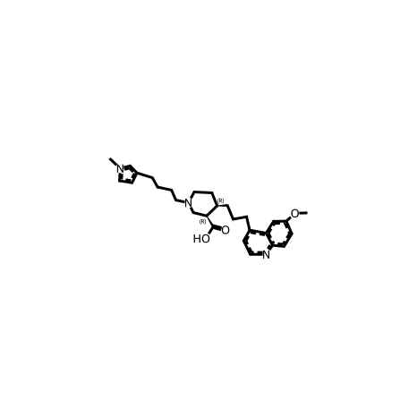 COc1ccc2nccc(CCC[C@@H]3CCN(CCCCc4ccn(C)c4)C[C@@H]3C(=O)O)c2c1